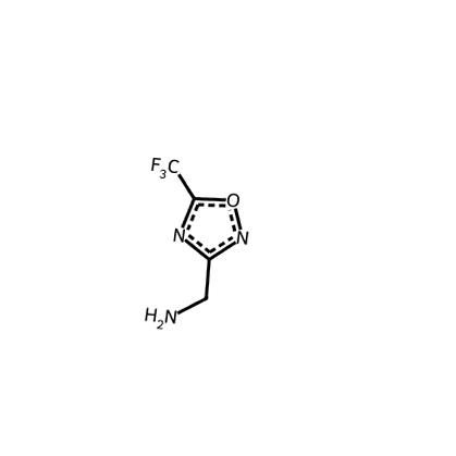 NCc1noc(C(F)(F)F)n1